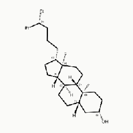 CC[C@H](CCC[C@H]1CC[C@H]2[C@@H]3CC[C@H]4C[C@@H](O)CC[C@]4(C)[C@H]3CC[C@]12C)C(C)C